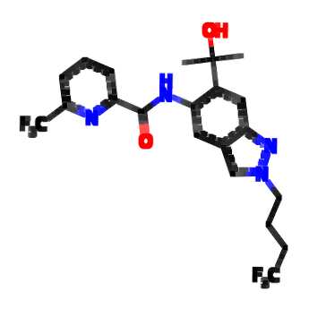 CC(C)(O)c1cc2nn(CCCC(F)(F)F)cc2cc1NC(=O)c1cccc(C(F)(F)F)n1